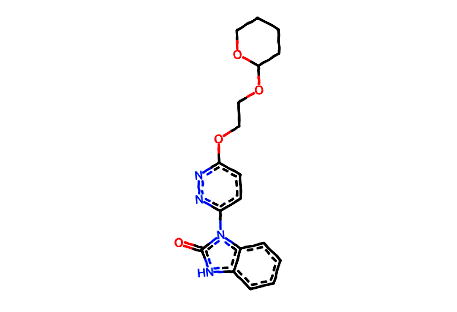 O=c1[nH]c2ccccc2n1-c1ccc(OCCOC2CCCCO2)nn1